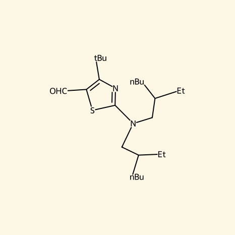 CCCCC(CC)CN(CC(CC)CCCC)c1nc(C(C)(C)C)c(C=O)s1